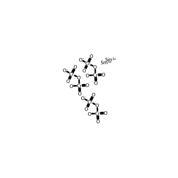 [O]=[Cr](=[O])([O-])[O][Cr](=[O])(=[O])[O-].[O]=[Cr](=[O])([O-])[O][Cr](=[O])(=[O])[O-].[O]=[Cr](=[O])([O-])[O][Cr](=[O])(=[O])[O-].[Sm+3].[Sm+3]